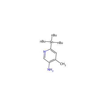 CCC[CH2][Sn]([CH2]CCC)([CH2]CCC)[c]1cc(C)c(N)cn1